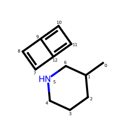 CC1CCCNC1.c1cc2ccc1-2